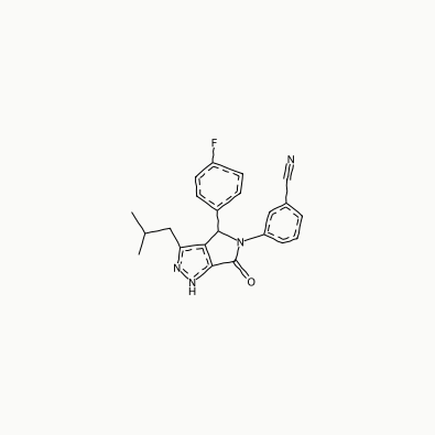 CC(C)Cc1n[nH]c2c1C(c1ccc(F)cc1)N(c1cccc(C#N)c1)C2=O